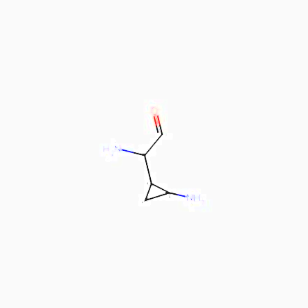 NC(C=O)C1CC1N